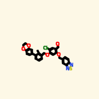 Cc1c(COc2cc(OCc3ccc4nsnc4c3)c(C=O)cc2Cl)cccc1-c1ccc2c(c1)OCCO2